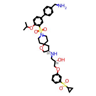 CC(C)Oc1ccc(-c2ccc(CN)cc2)cc1S(=O)(=O)N1CCC2(CC1)C[C@H](NC[C@H](O)COc1cccc(S(=O)(=O)C3CC3)c1)CO2